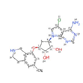 N#Cc1cc2c(c(O[C@H]3C[C@@H](n4cc(Cl)c5c(N)ncnc54)[C@H](O)[C@@H]3O)c1)CNCC2